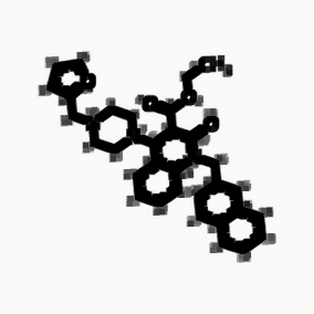 CCOC(=O)c1c(N2CCN(Cc3ccco3)CC2)c2ccccc2n(Cc2ccc3ccccc3c2)c1=O